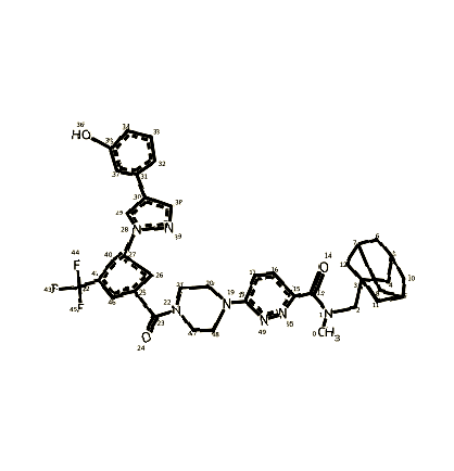 CN(CC12CC3CC(CC(C3)C1)C2)C(=O)c1ccc(N2CCN(C(=O)c3cc(-n4cc(-c5cccc(O)c5)cn4)cc(C(F)(F)F)c3)CC2)nn1